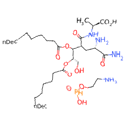 CCCCCCCCCCCCCCCC(=O)OC(C(C[C@H](N)C(N)=O)C(=O)N[C@@H](C)C(=O)O)[C@H](CO)OC(=O)CCCCCCCCCCCCCCC.NCCO[PH](=O)O